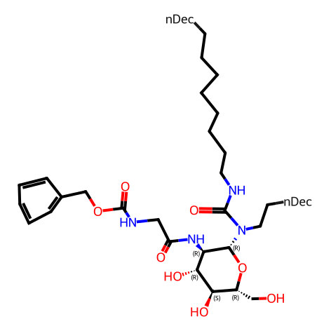 CCCCCCCCCCCCCCCCCCNC(=O)N(CCCCCCCCCCCC)[C@@H]1O[C@H](CO)[C@@H](O)[C@H](O)[C@H]1NC(=O)CNC(=O)OCc1ccccc1